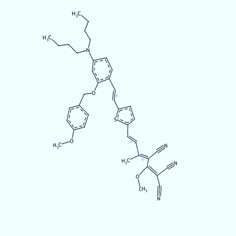 CCCCN(CCCC)c1ccc(/C=C/c2ccc(/C=C/C(C)=C(\C#N)C(OC)=C(C#N)C#N)s2)c(OCc2ccc(OC)cc2)c1